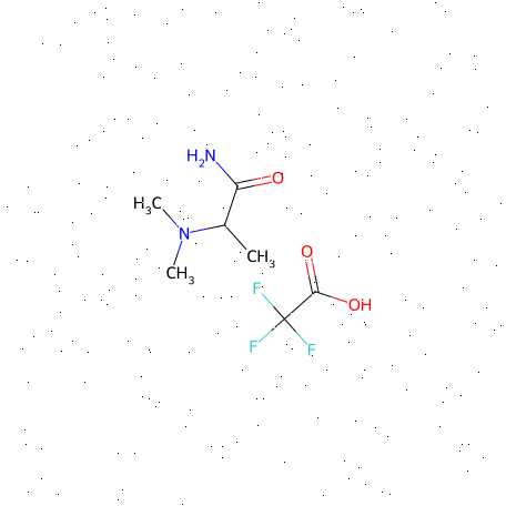 CC(C(N)=O)N(C)C.O=C(O)C(F)(F)F